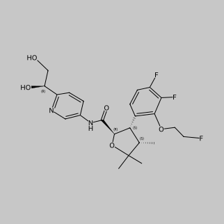 C[C@H]1[C@@H](c2ccc(F)c(F)c2OCCF)[C@H](C(=O)Nc2ccc([C@@H](O)CO)nc2)OC1(C)C